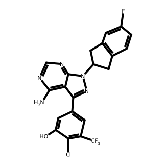 Nc1ncnc2c1c(-c1cc(O)c(Cl)c(C(F)(F)F)c1)nn2C1Cc2ccc(F)cc2C1